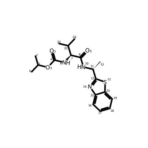 CC(C)OC(=O)N[C@H](C(=O)N[C@H](C)c1nc2ccccc2s1)C(C)C